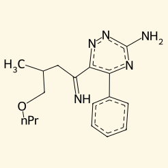 CCCOCC(C)CC(=N)c1nnc(N)nc1-c1ccccc1